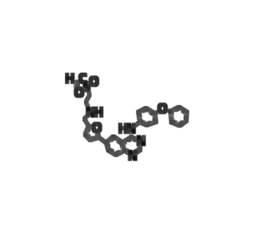 CS(=O)(=O)CCNCc1ccc(-c2ccc3ncnc(Nc4ccc(Oc5ccccc5)cc4)c3c2)o1